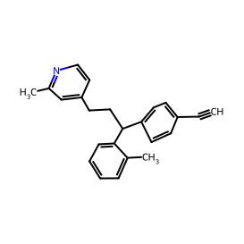 C#Cc1ccc(C(CCc2ccnc(C)c2)c2ccccc2C)cc1